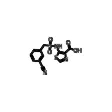 N#Cc1cccc(CS(=O)(=O)Nc2scnc2C(=O)O)c1